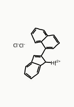 [Cl-].[Cl-].[Hf+2][CH]1C(c2cccc3ccccc23)=Cc2ccccc21